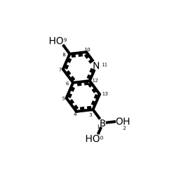 OB(O)c1ccc2cc(O)cnc2c1